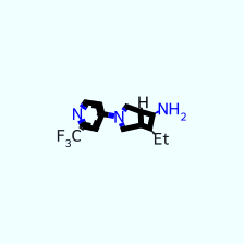 CC[C@@H]1C2CN(c3ccnc(C(F)(F)F)c3)C[C@H]2[C@@H]1N